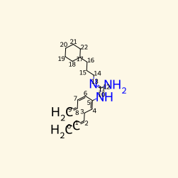 C=C=CC/C=C(\C=C/C=C)N/C(N)=N/CCCC1CCCCC1